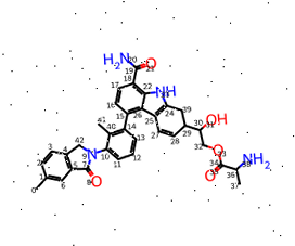 Cc1ccc2c(c1)C(=O)N(c1cccc(-c3ccc(C(N)=O)c4[nH]c5c(c34)C=CC(C(O)COC(=O)C(C)N)C5)c1C)C2